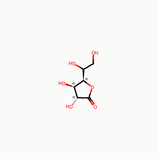 O=C1O[C@H](C(O)CO)[C@H](O)[C@H]1O